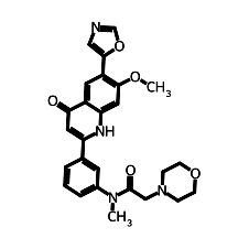 COc1cc2[nH]c(-c3cccc(N(C)C(=O)CN4CCOCC4)c3)cc(=O)c2cc1-c1cnco1